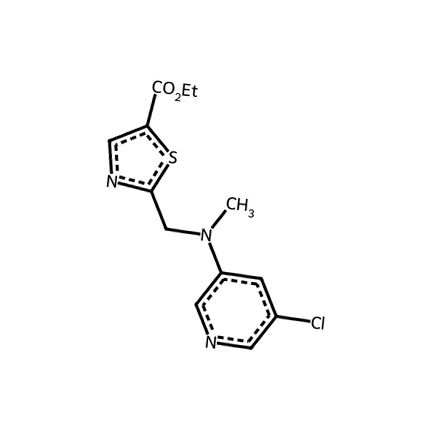 CCOC(=O)c1cnc(CN(C)c2cncc(Cl)c2)s1